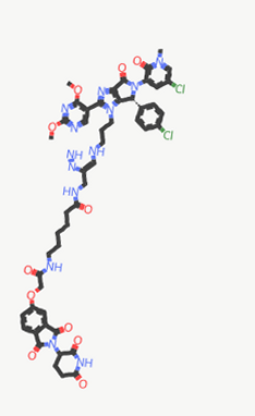 COc1ncc(-c2nc3c(n2CCCN/C=C(/CNC(=O)CCCCCNC(=O)COc2ccc4c(c2)C(=O)N(C2CCC(=O)NC2=O)C4=O)N=N)[C@@H](c2ccc(Cl)cc2)N(c2cc(Cl)cn(C)c2=O)C3=O)c(OC)n1